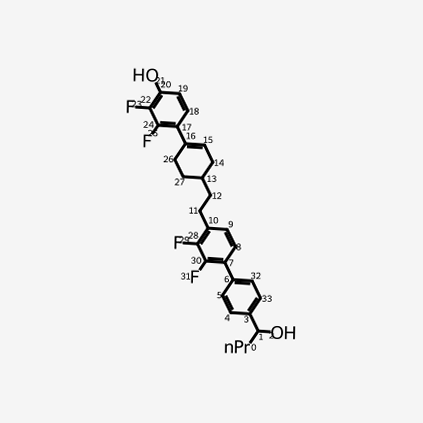 CCCC(O)c1ccc(-c2ccc(CCC3CC=C(c4ccc(O)c(F)c4F)CC3)c(F)c2F)cc1